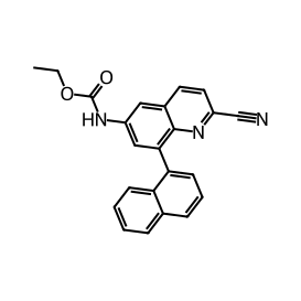 CCOC(=O)Nc1cc(-c2cccc3ccccc23)c2nc(C#N)ccc2c1